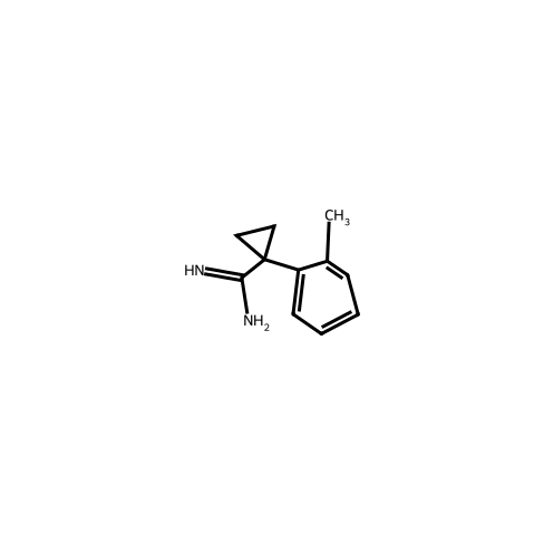 Cc1ccccc1C1(C(=N)N)CC1